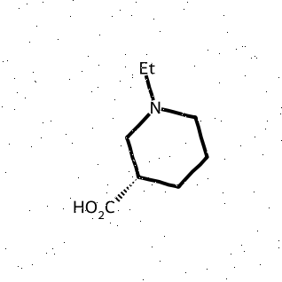 CCN1CCC[C@H](C(=O)O)C1